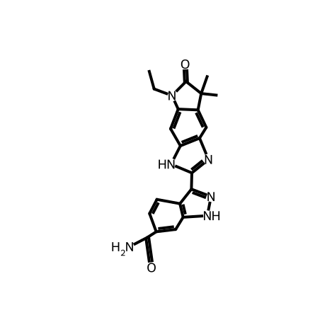 CCN1C(=O)C(C)(C)c2cc3nc(-c4n[nH]c5cc(C(N)=O)ccc45)[nH]c3cc21